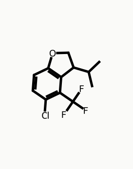 CC(C)C1COc2ccc(Cl)c(C(F)(F)F)c21